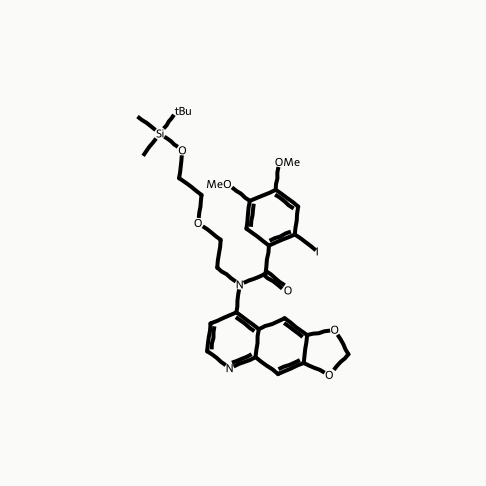 COc1cc(I)c(C(=O)N(CCOCCO[Si](C)(C)C(C)(C)C)c2ccnc3cc4c(cc23)OCO4)cc1OC